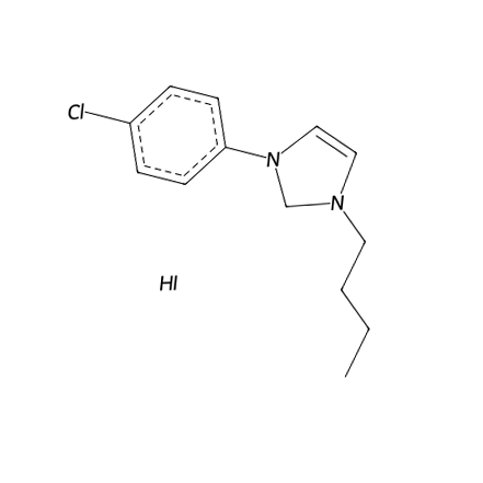 CCCCN1C=CN(c2ccc(Cl)cc2)C1.I